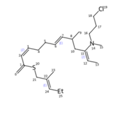 C=C(/C=C\CC/C=C/C(C)C/C(=C/C)N(C)CCCCl)SC/C(C)=C/CC